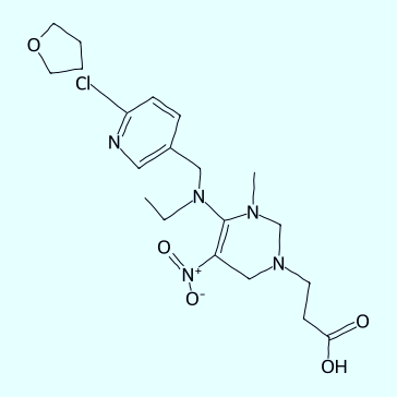 C1CCOC1.CCN(Cc1ccc(Cl)nc1)C1=C([N+](=O)[O-])CN(CCC(=O)O)CN1C